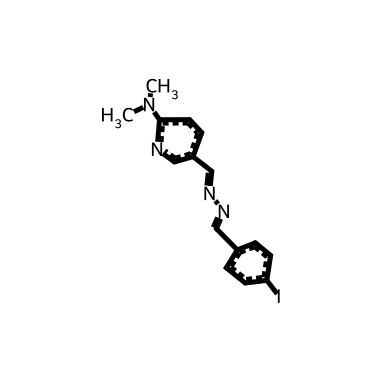 CN(C)c1ccc(/C=N/N=C/c2ccc(I)cc2)cn1